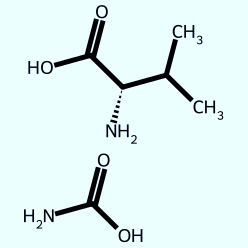 CC(C)[C@H](N)C(=O)O.NC(=O)O